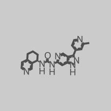 Cc1cc(-c2n[nH]c3cc(NC(=O)N[C@@H]4CCCc5ccncc54)ncc23)ccn1